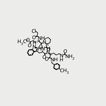 COC(=O)CC[C@H](NC(=O)CCl)C(=O)N1CCCC[C@H]1C(=O)NC(Cc1c[nH]c2ccccc12)C(=O)N[C@@H](CCCNC(N)=O)C(=O)NCc1ccc(C)cc1